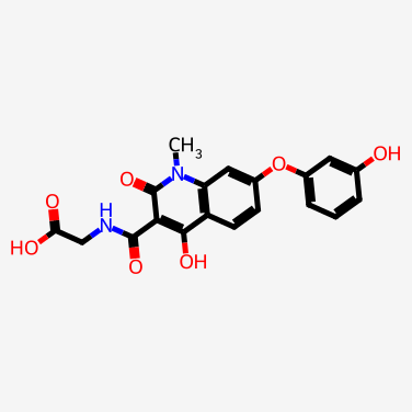 Cn1c(=O)c(C(=O)NCC(=O)O)c(O)c2ccc(Oc3cccc(O)c3)cc21